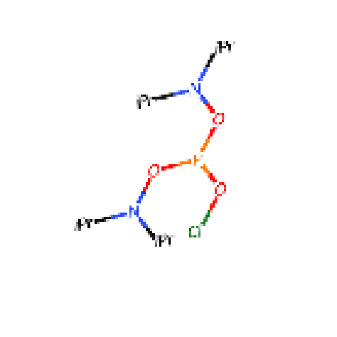 CC(C)N(OP(OCl)ON(C(C)C)C(C)C)C(C)C